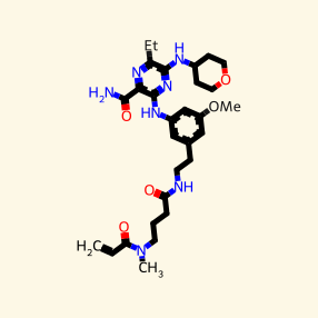 C=CC(=O)N(C)CCCC(=O)NCCc1cc(Nc2nc(NC3CCOCC3)c(CC)nc2C(N)=O)cc(OC)c1